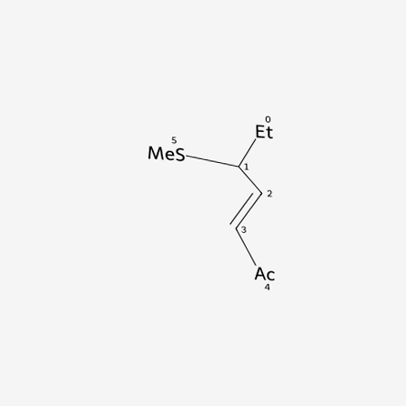 CCC(C=CC(C)=O)SC